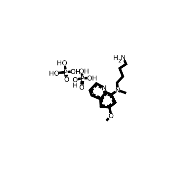 COc1cc(N(C)CCCCN)c2ncccc2c1.O=P(O)(O)O.O=P(O)(O)O